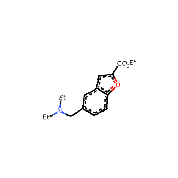 CCOC(=O)c1cc2cc(CN(CC)CC)ccc2o1